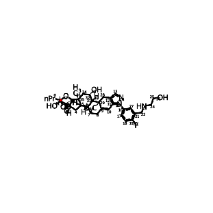 CCC[C@@H]1O[C@@H]2C[C@H]3[C@@H]4CCC5=Cc6c(cnn6-c6ccc(F)c(CNCCO)c6)C[C@]5(C)[C@H]4[C@@H](O)C[C@]3(C)[C@]2(C(=O)CO)O1